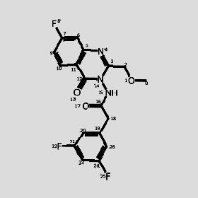 COCc1nc2cc(F)ccc2c(=O)n1NC(=O)Cc1cc(F)cc(F)c1